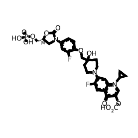 O=C(O)Oc1cn(C2CC2)c2cc(N3CCC(O)(COc4ccc(N5C[C@H](COP(=O)(O)O)OC5=O)cc4F)CC3)c(F)cc2c1=O